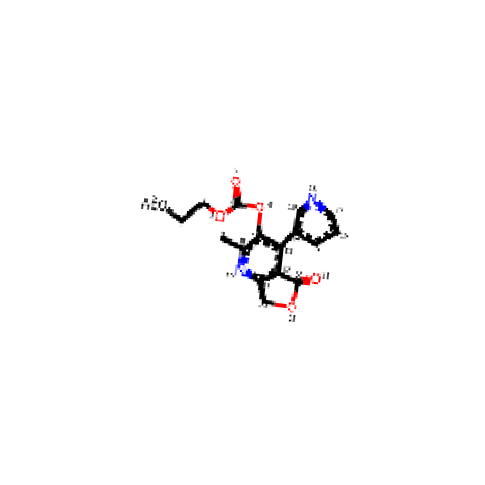 CC(=O)OCCOC(=O)Oc1c(C)nc2c(c1-c1cccnc1)C(=O)OC2